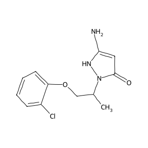 CC(COc1ccccc1Cl)n1[nH]c(N)cc1=O